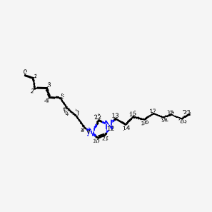 CCCCCCCCCN1C=CN(CCCCCCCCC)C1